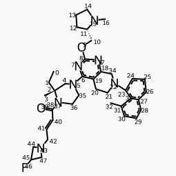 CC[C@]1(C)CN(c2nc(OC[C@@H]3CCCN3C)nc3c2CCN(c2cccc4cccc(C)c24)C3)CCN1C(=O)/C=C/CN1CC(F)C1